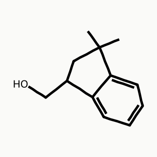 CC1(C)CC(CO)c2ccccc21